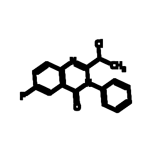 CC(Cl)c1nc2ccc(F)cc2c(=O)n1-c1ccccc1